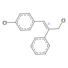 ClC/C(=C/c1ccc(Cl)cc1)c1ccccc1